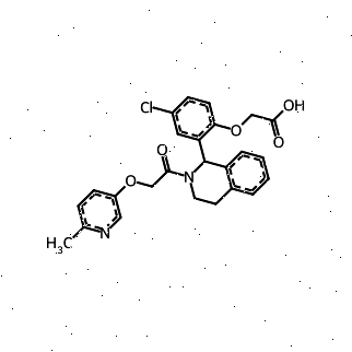 Cc1ccc(OCC(=O)N2CCc3ccccc3C2c2cc(Cl)ccc2OCC(=O)O)cn1